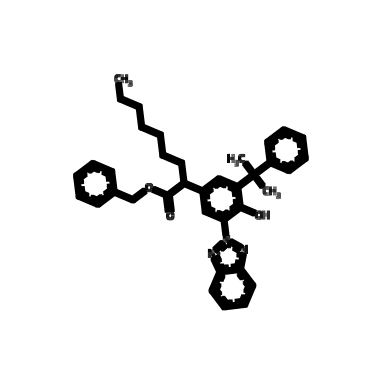 CCCCCCCC(C(=O)OCc1ccccc1)c1cc(-n2nc3ccccc3n2)c(O)c(C(C)(C)c2ccccc2)c1